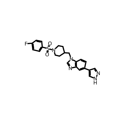 O=S(=O)(c1ccc(F)cc1)N1CCC(Cn2cnc3cc(-c4cn[nH]c4)ccc32)CC1